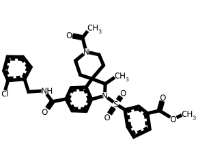 COC(=O)c1cccc(S(=O)(=O)N2c3ccc(C(=O)NCc4ccccc4Cl)cc3C3(CCN(C(C)=O)CC3)C2C)c1